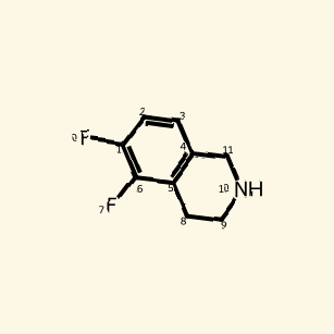 Fc1ccc2c(c1F)CCNC2